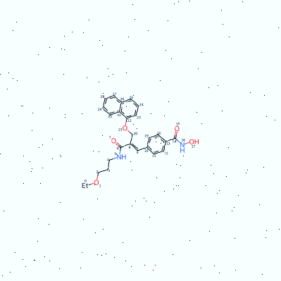 CCOCCCNC(=O)/C(=C/c1ccc(C(=O)NO)cc1)COc1cccc2ccccc12